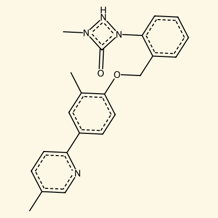 Cc1ccc(-c2ccc(OCc3ccccc3-n3[nH]n(C)c3=O)c(C)c2)nc1